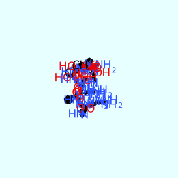 C[C@@H](O)[C@H](NC(=O)CNC(=O)[C@H](CCC(=O)O)NC(=O)[C@H](CCCNC(=N)N)NC(=O)[C@H](Cc1ccccc1)NC(=O)CNC(=O)[C@H](Cc1c[nH]cn1)NC(=O)[C@@H](N)CCCNC(=N)N)C(=O)N[C@H](C(=O)N1CCC[C@H]1C(=O)N[C@@H](CCCCN)C(=O)N1CCC[C@H]1C(=O)N[C@@H](CCCCN)C(=O)O)[C@@H](C)O